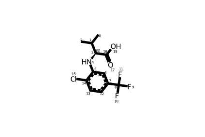 CC(C)[C@H](Nc1cc(C(F)(F)F)ccc1Cl)C(=O)O